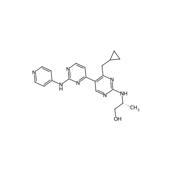 C[C@H](CO)Nc1ncc(-c2ccnc(Nc3ccncc3)n2)c(CC2CC2)n1